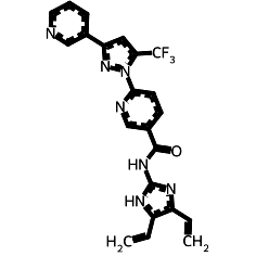 C=Cc1nc(NC(=O)c2ccc(-n3nc(-c4cccnc4)cc3C(F)(F)F)nc2)[nH]c1C=C